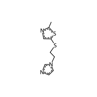 Cc1ncc(SCCn2ccnc2)s1